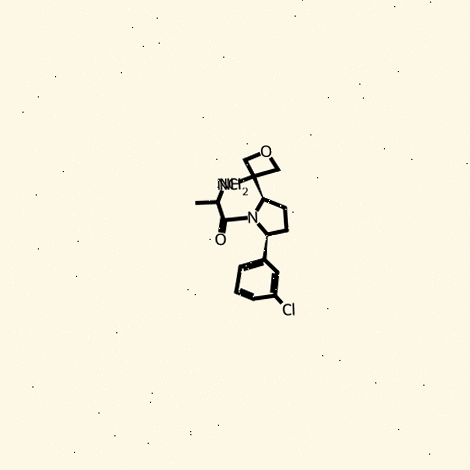 CC(N)C(=O)N1[C@H](c2cccc(Cl)c2)CC[C@@H]1C1(C#N)COC1